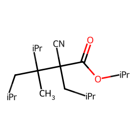 CC(C)CC(C#N)(C(=O)OC(C)C)C(C)(CC(C)C)C(C)C